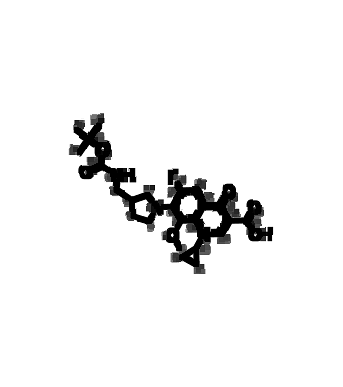 COc1c(N2CCC(CNC(=O)OC(C)(C)C)C2)c(F)cc2c(=O)c(C(=O)O)cn(C3CC3)c12